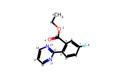 CCOC(=O)c1cc(F)ccc1-c1ncccn1